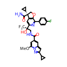 COc1cc(C(=O)NC[C@](O)(c2cc3c(c(-c4ccc(F)cc4)n2)OC[C@@]3(C(N)=O)C2CC2)C(F)(F)F)cc2cc(C3CC3)nn12